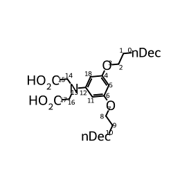 CCCCCCCCCCCCOc1cc(OCCCCCCCCCCCC)cc(N(CC(=O)O)CC(=O)O)c1